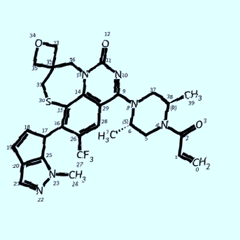 C=CC(=O)N1C[C@H](C)N(c2nc(=O)n3c4c(c(C5C=Cc6cnn(C)c65)c(C(F)(F)F)cc24)SCC2(COC2)C3)C[C@H]1C